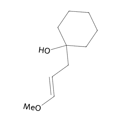 COC=CCC1(O)CCCCC1